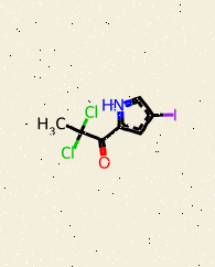 CC(Cl)(Cl)C(=O)c1cc(I)c[nH]1